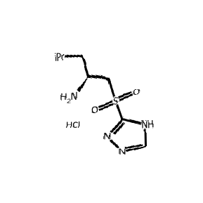 CC(C)C[C@H](N)CS(=O)(=O)c1nnc[nH]1.Cl